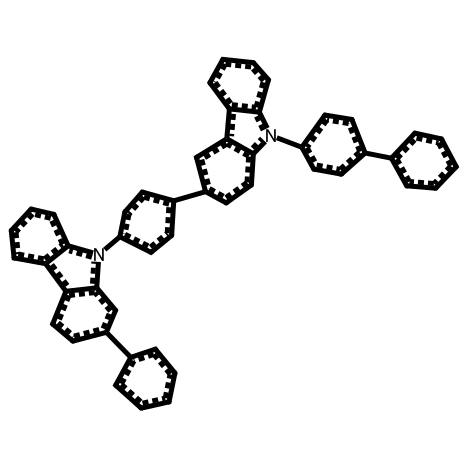 c1ccc(-c2ccc(-n3c4ccccc4c4cc(-c5ccc(-n6c7ccccc7c7ccc(-c8ccccc8)cc76)cc5)ccc43)cc2)cc1